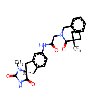 CN1C(=O)NC(=O)[C@@]12Cc1ccc(NC(=O)CN(Cc3ccccc3)C(=O)C3(C(F)(F)F)CCC3)cc1C2